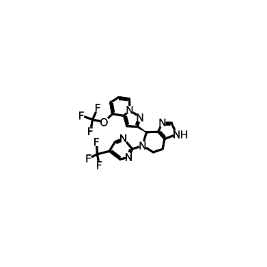 FC(F)(F)Oc1cccn2nc([C@H]3c4nc[nH]c4CCN3c3ncc(C(F)(F)F)cn3)cc12